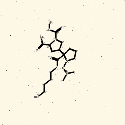 C[SiH](C)ON1CCCC1(C(=O)OCCCCC(C)(C)C)C1CC(C(N)=O)N(C(=O)OC(C)(C)C)C1